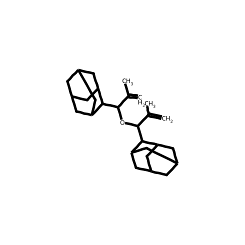 C=C(C)C(OC(C(=C)C)C1C2CC3CC(C2)CC1C3)C1C2CC3CC(C2)CC1C3